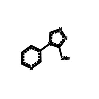 [CH2]Sc1nncn1-c1cccnc1